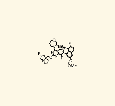 C#Cc1c(F)ccc2cc(OCOC)cc(-c3ncc4c(N5CCCOC[C@@H]5C)nc(OC[C@@]56CCCN5C[C@H](F)C6)nc4c3F)c12